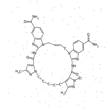 CCn1nc(C)c2c1C(=O)Nc1nc3cc(C(N)=O)ccc3n1C/C=C/Cn1c(nc3cc(C(N)=O)ccc31)NC(=O)c1cc(C)nn1CCCCC2